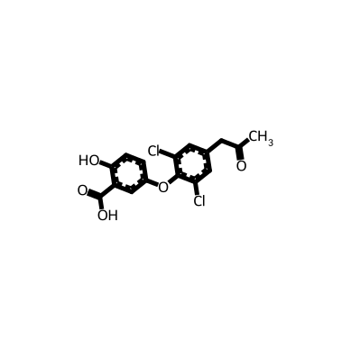 CC(=O)Cc1cc(Cl)c(Oc2ccc(O)c(C(=O)O)c2)c(Cl)c1